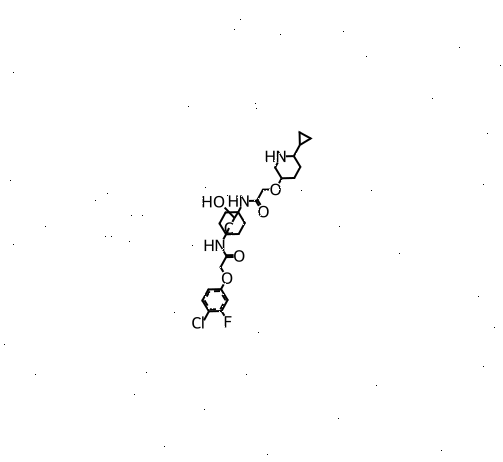 O=C(COc1ccc(Cl)c(F)c1)NC12CCC(NC(=O)COC3CCC(C4CC4)NC3)(CC1)C(O)C2